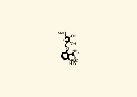 CO[C@@H]1O[C@H](COc2cccc3c2C(N)=NS(=O)(=O)N3)[C@@H](O)[C@H]1O